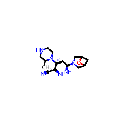 CC1CNCCN1/C(=C/C(=N)N1CC2CC(C1)O2)C(=N)C#N